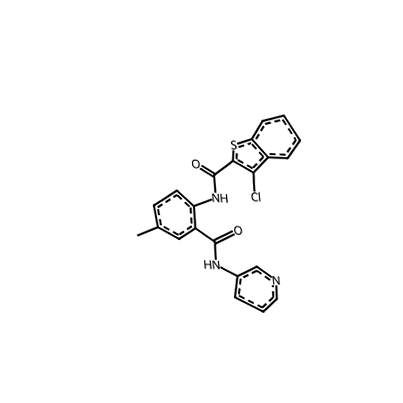 Cc1ccc(NC(=O)c2sc3ccccc3c2Cl)c(C(=O)Nc2cccnc2)c1